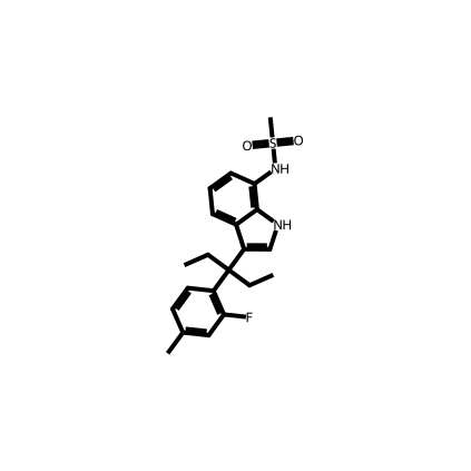 CCC(CC)(c1ccc(C)cc1F)c1c[nH]c2c(NS(C)(=O)=O)cccc12